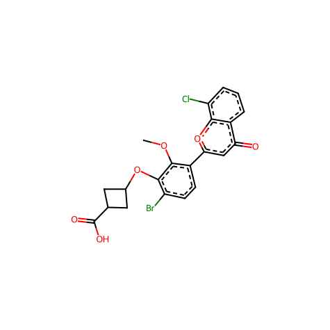 COc1c(-c2cc(=O)c3cccc(Cl)c3o2)ccc(Br)c1OC1CC(C(=O)O)C1